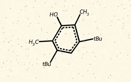 Cc1c(C(C)(C)C)cc(C(C)(C)C)c(C)c1O